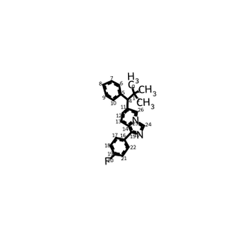 CC(C)(C)C(c1ccccc1)c1ccc2c(-c3ccc(F)cc3)ncn2c1